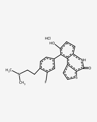 CN(C)CCc1ccc(-c2c(O)ccc3[nH]c(=O)c4sccc4c23)cc1F.Cl